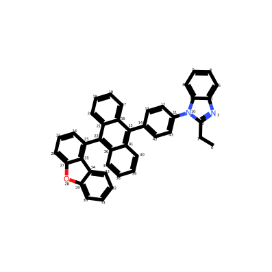 CCc1nc2ccccc2n1-c1ccc(-c2c3ccccc3c(-c3cccc4oc5ccccc5c34)c3ccccc23)cc1